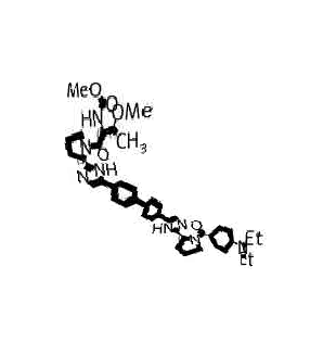 CCN(CC)[C@H]1CC[C@@H](C(=O)N2CCC[C@H]2c2ncc(-c3ccc(-c4ccc(-c5cnc([C@@H]6CCCN6C(=O)[C@@H](NC(=O)OC)[C@@H](C)OC)[nH]5)cc4)cc3)[nH]2)CC1